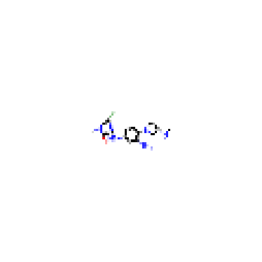 CN(C)[C@H]1CCN(c2ccc(Nc3nc(Br)cn(C)c3=O)cc2N)C1